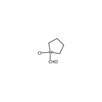 O=C[N+]1(Cl)CCCC1